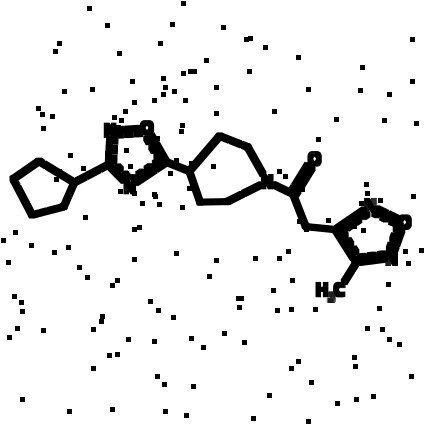 Cc1nonc1CC(=O)N1CCC(c2nc(C3CCCC3)no2)CC1